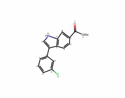 COC(=O)c1ccc2c(-c3cccc(Cl)c3)c[nH]c2c1